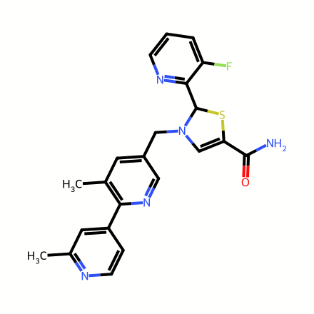 Cc1cc(-c2ncc(CN3C=C(C(N)=O)SC3c3ncccc3F)cc2C)ccn1